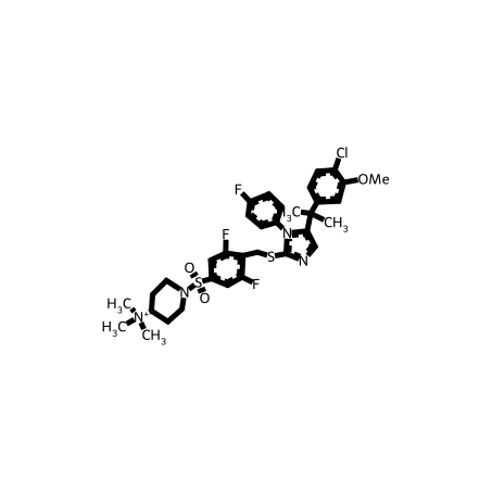 COc1cc(C(C)(C)c2cnc(SCc3c(F)cc(S(=O)(=O)N4CCC([N+](C)(C)C)CC4)cc3F)n2-c2ccc(F)cc2)ccc1Cl